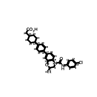 CCC1CN(C(=O)Nc2ccc(Cl)cc2)c2ccc(-c3ccc(C4CCC(CC(=O)O)CC4)cc3)cc2O1